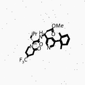 COC(=O)C[C@H](NC(=O)[C@@H](CC(C)C)N1CCC(C(F)(F)F)CC1=O)c1cncc(-c2c(C)cccc2C)c1